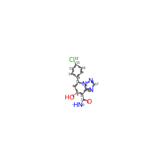 [NH]C(=O)c1c(O)cc(-c2ccc(Cl)cc2)n2ncnc12